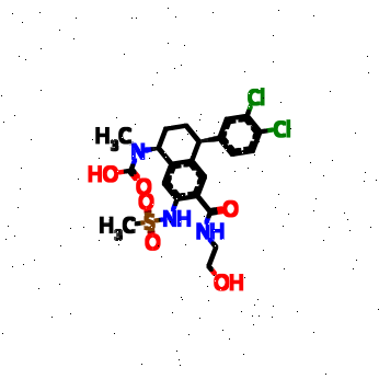 CN(C(=O)O)[C@H]1CC[C@@H](c2ccc(Cl)c(Cl)c2)c2cc(C(=O)NCCO)c(NS(C)(=O)=O)cc21